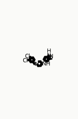 Clc1ccc(CN2CCC(Nc3ccc4[nH]ncc4c3)CC2)cc1Cl